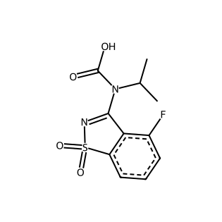 CC(C)N(C(=O)O)C1=NS(=O)(=O)c2cccc(F)c21